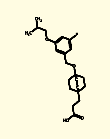 CC(C)COc1cc(F)cc(COC23CCC(CCC(=O)O)(CC2)CC3)c1